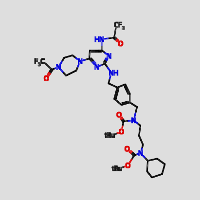 CC(C)(C)OC(=O)N(CCCN(C(=O)OC(C)(C)C)C1CCCCC1)Cc1ccc(CNc2nc(NC(=O)C(F)(F)F)cc(N3CCN(C(=O)C(F)(F)F)CC3)n2)cc1